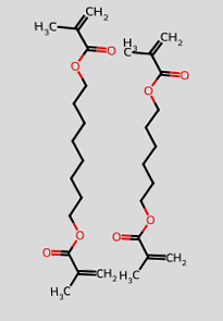 C=C(C)C(=O)OCCCCCCCCOC(=O)C(=C)C.C=C(C)C(=O)OCCCCCCOC(=O)C(=C)C